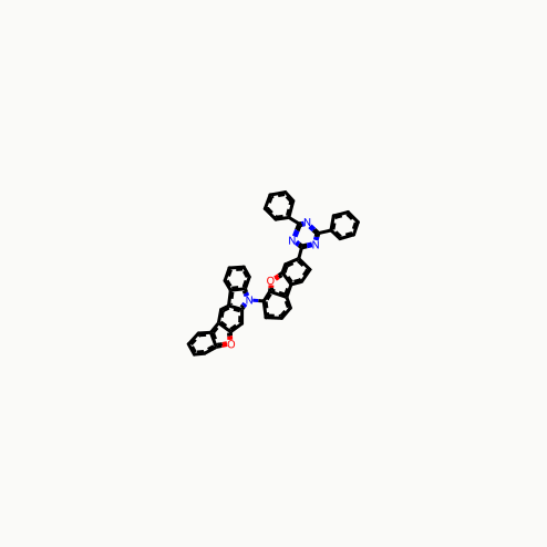 c1ccc(-c2nc(-c3ccccc3)nc(-c3ccc4c(c3)oc3c(-n5c6ccccc6c6cc7c(cc65)oc5ccccc57)cccc34)n2)cc1